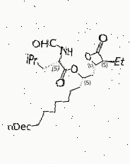 CCCCCCCCCCCCCCCCC[C@@H](C[C@@H]1OC(=O)[C@H]1CC)OC(=O)[C@H](CC(C)C)NC=O